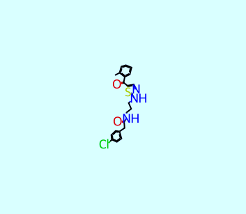 Cc1ccccc1C(=O)c1cnc(NCCCNC(=O)Cc2ccc(Cl)cc2)s1